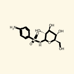 Nc1ccc(S(=O)(=O)NC2O[C@H](CO)[C@@H](O)[C@H](O)[C@H]2O)cc1